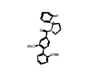 COc1ccccc1-c1ccc(C(=O)N2CCC[C@@H]2c2ccccc2F)cc1OC